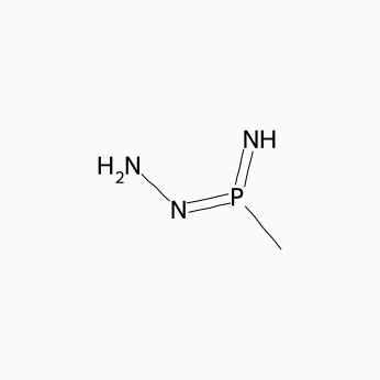 CP(=N)=NN